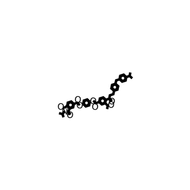 CC(=O)c1cc(C(=O)Oc2ccc(OC(=O)c3ccc4c(c3)C(=O)N(C(C)C)C4=O)cc2)ccc1C(=O)CCc1ccc(Cc2ccc(C(C)C)cc2)cc1